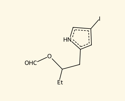 CCC(Cc1cc(I)c[nH]1)OC=O